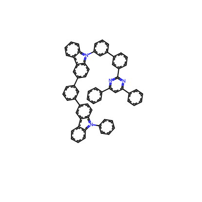 c1ccc(-c2cc(-c3ccccc3)nc(-c3cccc(-c4cccc(-n5c6ccccc6c6cc(-c7cccc(-c8ccc9c(c8)c8ccccc8n9-c8ccccc8)c7)ccc65)c4)c3)n2)cc1